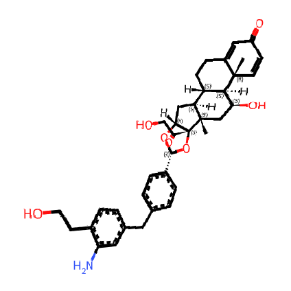 C[C@]12C=CC(=O)C=C1CC[C@@H]1[C@@H]2[C@@H](O)C[C@@]2(C)[C@H]1C[C@H]1O[C@@H](c3ccc(Cc4ccc(CCO)c(N)c4)cc3)O[C@]12C(=O)CO